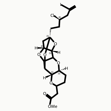 C=C(I)C[C@H](Cl)CC[C@@]12C[C@H]3OC4C(O1)[C@H]1OC(CC(=O)OC)CC[C@@H]1OC4[C@H]3O2